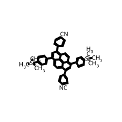 [C-]#[N+]c1ccc(-c2cc(-c3ccc([Si](C)(C)C)cc3)c3ccc4c(-c5ccc(C#N)cc5)cc(-c5ccc([Si](C)(C)C)cc5)c5ccc2c3c45)cc1